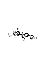 Cc1cn2cc(-c3nc(=O)n4cc(N5CCNCC5)ccc4n3)cc(F)c2n1